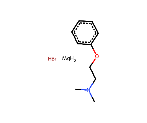 Br.CN(C)CCOc1ccccc1.[MgH2]